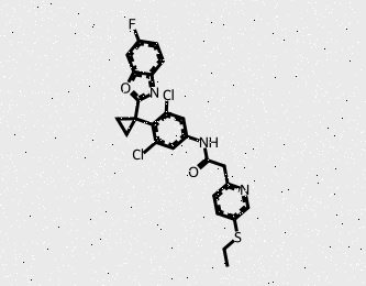 CCSc1ccc(CC(=O)Nc2cc(Cl)c(C3(c4nc5ccc(F)cc5o4)CC3)c(Cl)c2)nc1